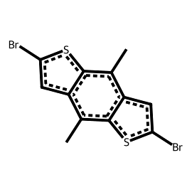 Cc1c2cc(Br)sc2c(C)c2cc(Br)sc12